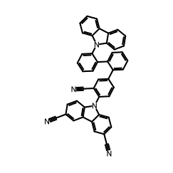 N#Cc1ccc2c(c1)c1cc(C#N)ccc1n2-c1ccc(-c2ccccc2-c2ccccc2-n2c3ccccc3c3ccccc32)cc1C#N